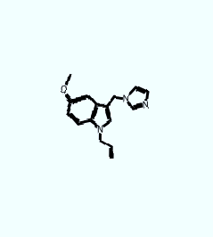 C=CCn1cc(Cn2ccnc2)c2cc(OC)ccc21